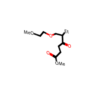 CCC(COCCOC)C(=O)CCC(=O)OC